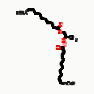 CCCCCCCC/C=C\CCCCCCCC(=O)OCC(C)OOC(=O)CCCCCCC/C=C\CCCCCCCC